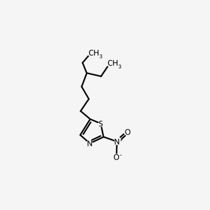 CCC(CC)CCCc1cnc([N+](=O)[O-])s1